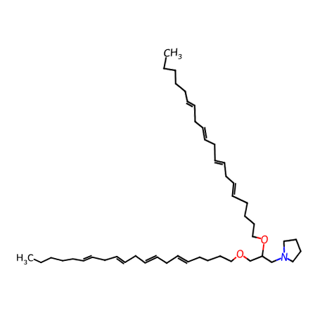 CCCCCC=CCC=CCC=CCC=CCCCCOCC(CN1CCCC1)OCCCCC=CCC=CCC=CCC=CCCCCC